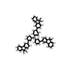 CC1(C)c2ccccc2-c2cc(-c3ccc(N(c4cccc(-c5ccc6c(c5)-c5ccccc5C6(C)C)c4)c4cccc(-c5ccc6c(c5)-c5ccccc5C6(C)C)c4)cc3)ccc21